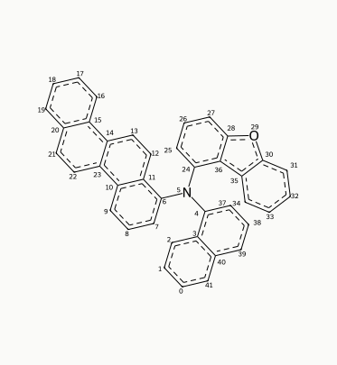 c1ccc2c(N(c3cccc4c3ccc3c5ccccc5ccc43)c3cccc4oc5ccccc5c34)cccc2c1